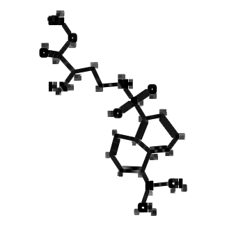 CN(C)c1cccc2c(S(=O)(=O)NCCC(N)C(=O)OC(C)(C)C)cccc12